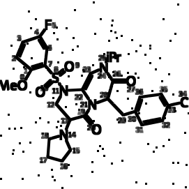 COc1ccc(F)cc1S(=O)(=O)N1CC(N2CCCC2)C(=O)N2C1=CN(C(C)C)C(=O)C2Cc1ccc(Cl)cc1